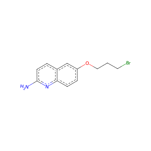 Nc1ccc2cc(OCCCBr)ccc2n1